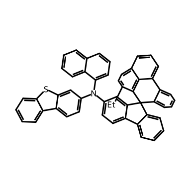 CCc1ccc2cccc3c2c1C1(c2ccccc2-c2ccc(N(c4ccc5c(c4)sc4ccccc45)c4cccc5ccccc45)cc21)c1ccccc1-3